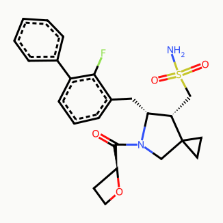 NS(=O)(=O)C[C@H]1[C@@H](Cc2cccc(-c3ccccc3)c2F)N(C(=O)[C@@H]2CCO2)CC12CC2